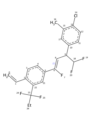 C=Cc1ccc(/C(F)=C/C(c2ccc(Cl)c(C)c2)C(F)F)cc1C(F)(F)CC